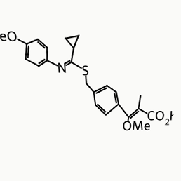 COC(=C(C)C(=O)O)c1ccc(CSC(=Nc2ccc(OC)cc2)C2CC2)cc1